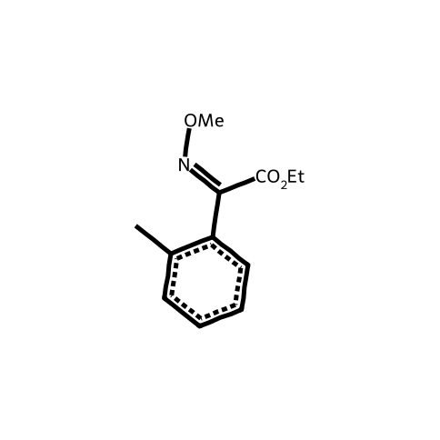 CCOC(=O)C(=NOC)c1ccccc1C